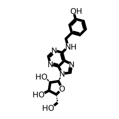 OC[C@H]1O[C@@H](n2cnc3c(NCc4cccc(O)c4)ncnc32)[C@@H](O)C1O